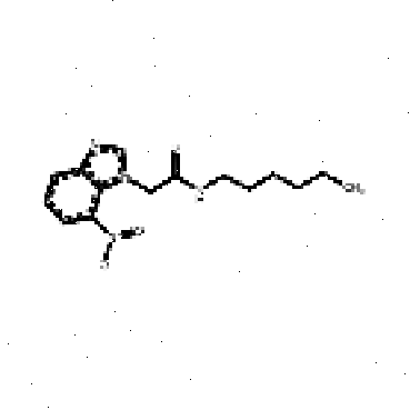 CCCCCCNC(=O)Cn1cnc2cccc([N+](=O)[O-])c21